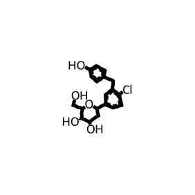 OCC1OC(c2ccc(Cl)c(Cc3ccc(O)cc3)c2)CC(O)[C@@H]1O